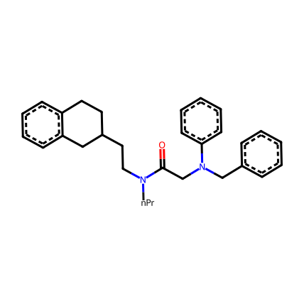 CCCN(CCC1CCc2ccccc2C1)C(=O)CN(Cc1ccccc1)c1ccccc1